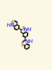 C1=Cc2cc(C3Cc4cc(C5=CSc6ccccc6N5)ccc4NS3)ccc2NS1